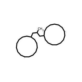 CC(CC1CCCCCC[CH]CCCCCCC1)CC1CCCCCC[CH]CCCCCCC1